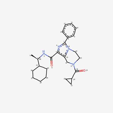 C[C@@H](NC(=O)c1nc(-c2ccccc2)n2c1CN(C(=O)C1CC1)CC2)C1CCCCC1